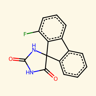 O=C1NC(=O)C2(N1)c1ccccc1-c1cccc(F)c12